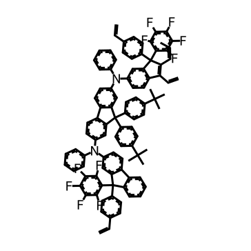 C=CC1=C(/C=C\C)C(c2ccc(C=C)cc2)(c2c(F)c(F)c(F)c(F)c2F)c2cc(N(c3ccccc3)c3ccc4c(c3)C(c3ccc(C(C)(C)C)cc3)(c3ccc(C(C)(C)C)cc3)c3cc(N(c5ccccc5)c5ccc6c(c5)C(c5ccc(C=C)cc5)(c5c(F)c(F)c(F)c(F)c5F)c5ccccc5-6)ccc3-4)ccc21